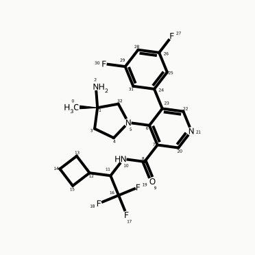 C[C@]1(N)CCN(c2c(C(=O)NC(C3CCC3)C(F)(F)F)cncc2-c2cc(F)cc(F)c2)C1